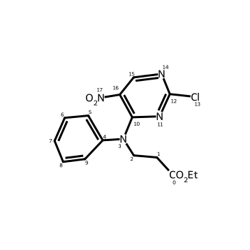 CCOC(=O)CCN(c1ccccc1)c1nc(Cl)ncc1[N+](=O)[O-]